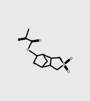 C=C(C)C(=O)OC1CC2CC1C1CS(=O)(=O)CC21